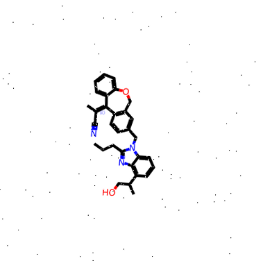 CCCc1nc2c(C(C)CO)cccc2n1Cc1ccc2c(c1)COc1ccccc1/C2=C(\C)C#N